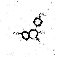 COc1ccc([C@@H]2Cc3cc(SC)ccc3NC(=O)[C@@H]2O)cc1